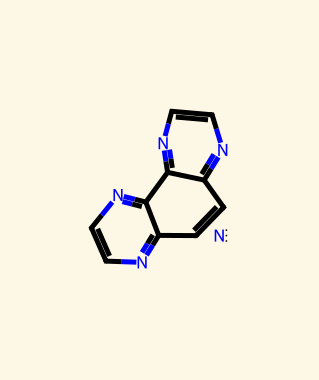 [N].c1cnc2c(ccc3nccnc32)n1